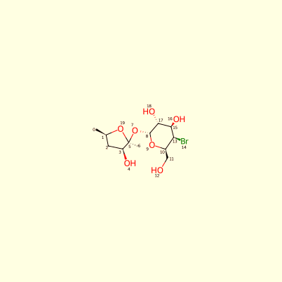 C[C@@H]1C[C@H](O)[C@](C)(O[C@H]2O[C@H](CO)[C@H](Br)[C@H](O)[C@H]2O)O1